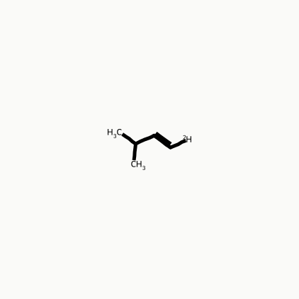 [2H]C=CC(C)C